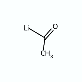 [Li][C](C)=O